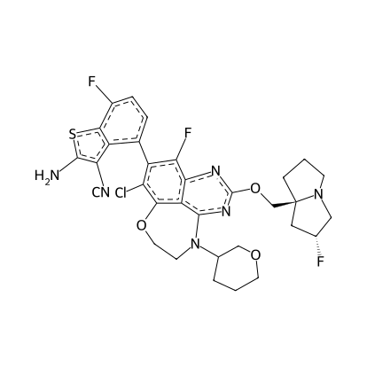 N#Cc1c(N)sc2c(F)ccc(-c3c(Cl)c4c5c(nc(OC[C@@]67CCCN6C[C@H](F)C7)nc5c3F)N(C3CCCOC3)CCO4)c12